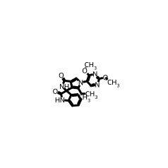 COc1ncc(-n2cc3c(c2C(C)C)C2(NC3=O)C(=O)Nc3ccccc32)c(OC)n1